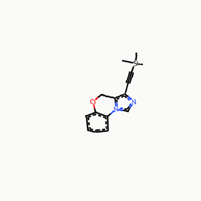 C[Si](C)(C)C#Cc1ncn2c1COc1ccccc1-2